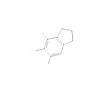 Bc1c(N)c(Br)cc2c1CCC2